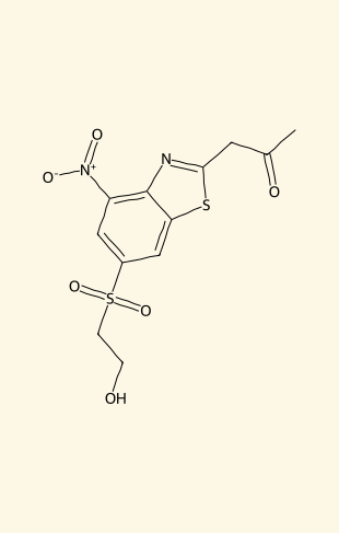 CC(=O)Cc1nc2c([N+](=O)[O-])cc(S(=O)(=O)CCO)cc2s1